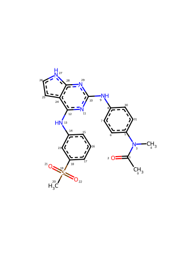 CC(=O)N(C)c1ccc(Nc2nc(Nc3cccc(S(C)(=O)=O)c3)c3cc[nH]c3n2)cc1